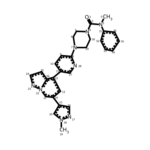 CN(C(=O)N1CCN(c2ccc(-c3cc(-c4cnn(C)c4)cn4nccc34)cn2)CC1)c1ccccc1